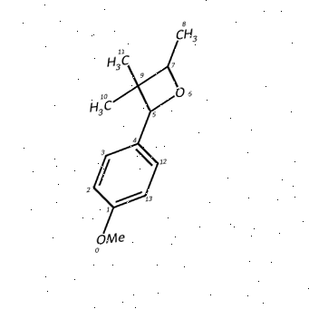 COc1ccc(C2OC(C)C2(C)C)cc1